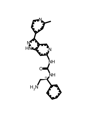 Cc1cc(-c2n[nH]c3cc(NC(=O)N[C@H](CN)c4ccccc4)ncc23)ccn1